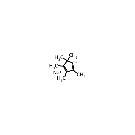 CC1=[C-]C(C)(C)C(C)=C1C.[Na+]